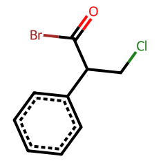 O=C(Br)C(CCl)c1ccccc1